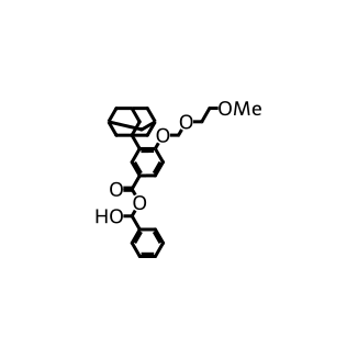 COCCOCOc1ccc(C(=O)OC(O)c2ccccc2)cc1C12CC3CC(CC(C3)C1)C2